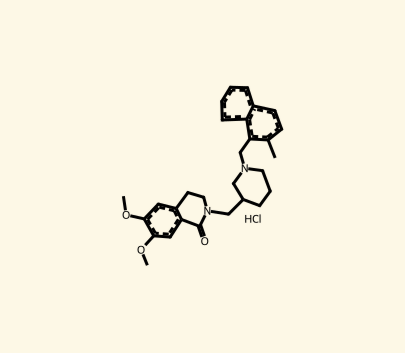 COc1cc2c(cc1OC)C(=O)N(CC1CCCN(Cc3c(C)ccc4ccccc34)C1)CC2.Cl